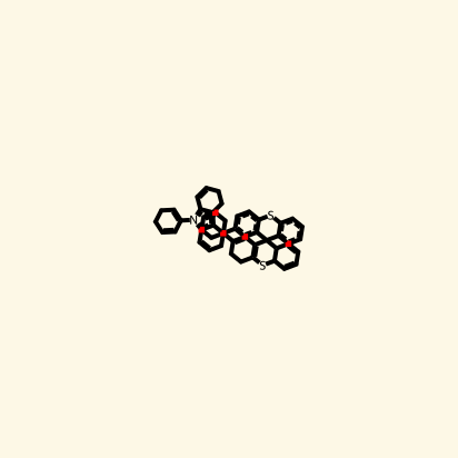 C1=CC2SC3=C(C=C(C4CC=CCC4)CC3)C3(c4ccccc4Sc4ccc(C5CC=Cc6c5c5c(n6C6=CCCC=C6)C=CCC5)cc43)C2C=C1